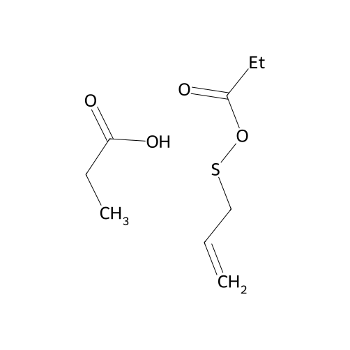 C=CCSOC(=O)CC.CCC(=O)O